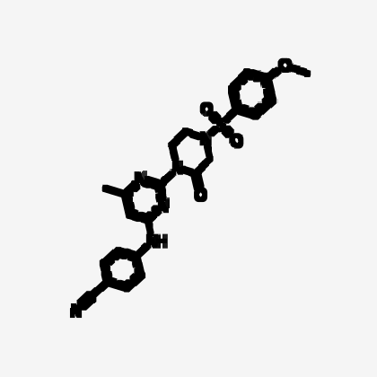 COc1ccc(S(=O)(=O)N2CCN(c3nc(C)cc(Nc4ccc(C#N)cc4)n3)C(=O)C2)cc1